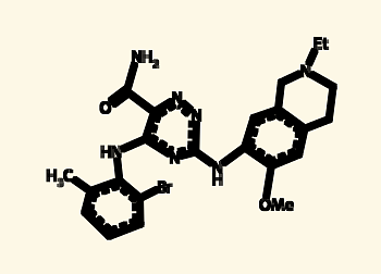 CCN1CCc2cc(OC)c(Nc3nnc(C(N)=O)c(Nc4c(C)cccc4Br)n3)cc2C1